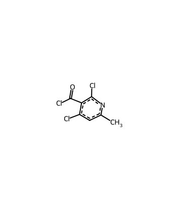 Cc1cc(Cl)c(C(=O)Cl)c(Cl)n1